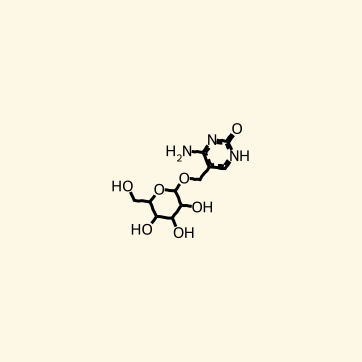 Nc1nc(=O)[nH]cc1COC1OC(CO)C(O)C(O)C1O